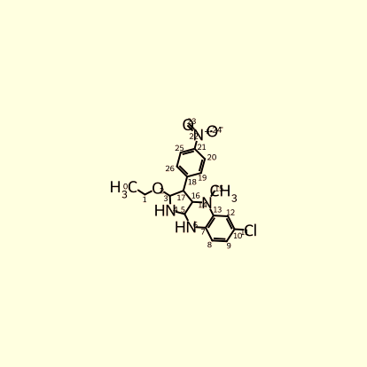 CCOC1NC2Nc3ccc(Cl)cc3N(C)C2C1c1ccc([N+](=O)[O-])cc1